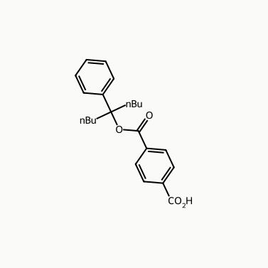 CCCCC(CCCC)(OC(=O)c1ccc(C(=O)O)cc1)c1ccccc1